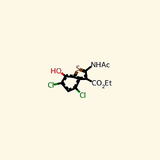 CCOC(=O)c1c(NC(C)=O)sc2c(O)c(Cl)cc(Cl)c12